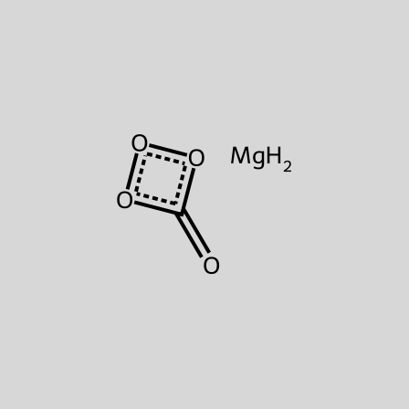 O=c1ooo1.[MgH2]